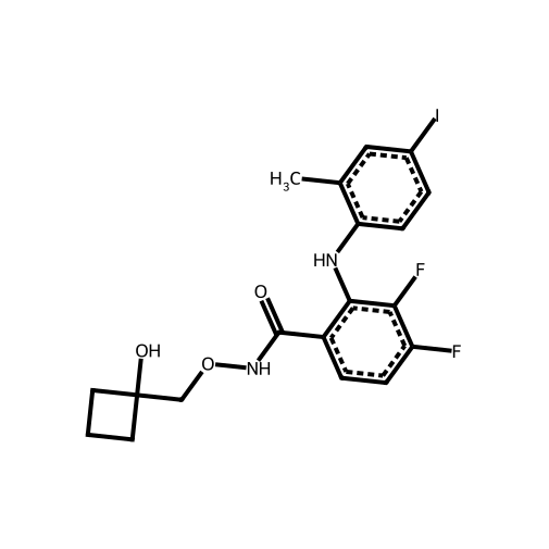 Cc1cc(I)ccc1Nc1c(C(=O)NOCC2(O)CCC2)ccc(F)c1F